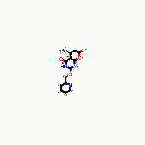 CCCCc1cc(=O)oc2nc(OCc3ccccn3)[nH]c(=O)c12